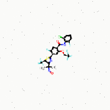 CC(C)(N=O)c1nc(-c2cc(OCC(F)(F)F)c(C(=O)Nc3c(F)cccc3Cl)cc2F)sc1C(F)(F)F